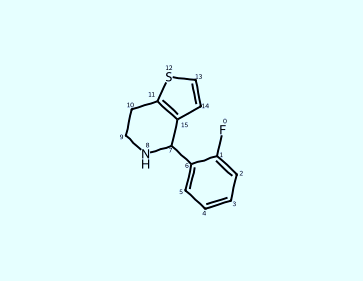 Fc1ccccc1C1NCCc2sccc21